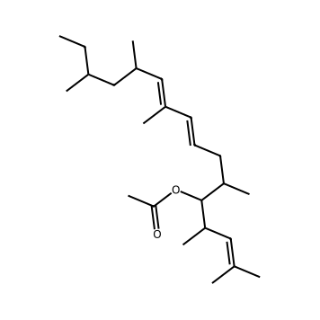 CCC(C)CC(C)/C=C(C)/C=C/CC(C)C(OC(C)=O)C(C)C=C(C)C